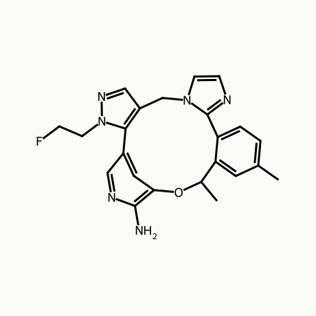 Cc1ccc2c(c1)C(C)Oc1cc(cnc1N)-c1c(cnn1CCF)Cn1ccnc1-2